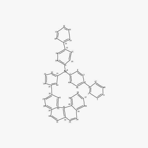 c1ccc(-c2ccc(N(c3ccc(-c4ccccc4)cc3)c3cccc(-c4ccc5ccc6ccc7ccccc7c6c5c4)c3)cc2)cc1